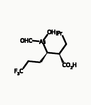 CC(C)C[C@H](C(=O)O)[C@H](CCC(F)(F)F)[As](O)C=O